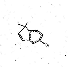 CC1(C)C=Cc2cc(Br)ccc21